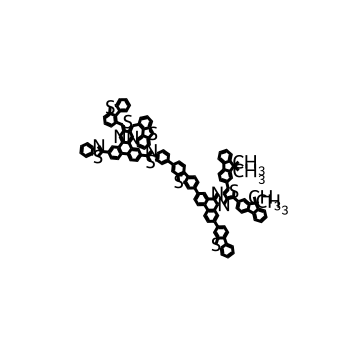 CC1(C)c2ccccc2-c2ccc(-c3sc(-c4ccc5c(c4)C(C)(C)c4ccccc4-5)c4nc5c6cc(-c7ccc8c(c7)sc7cc(-c9ccc%10nc(-c%11ccc%12c%13ccc(-c%14nc%15ccccc%15s%14)cc%13c%13nc%14c(-c%15cccc%16sc%17ccccc%17c%15%16)sc(-c%15cccc%16sc%17ccccc%17c%15%16)c%14nc%13c%12c%11)sc%10c9)ccc78)ccc6c6ccc(-c7ccc8c(c7)sc7ccccc78)cc6c5nc34)cc21